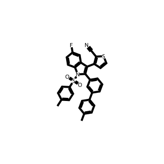 Cc1ccc(-c2cccc(-c3c(-c4ccsc4C#N)c4cc(F)ccc4n3S(=O)(=O)c3ccc(C)cc3)c2)cc1